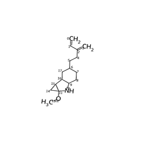 C=CC(=C)CCC1CCC2NC3(OC)CC3C2C1